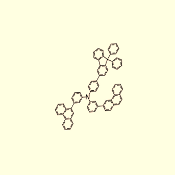 c1ccc(C2(c3ccccc3)c3ccccc3-c3cc(-c4ccc(N(c5cccc(-c6ccc7ccc8ccccc8c7c6)c5)c5cccc(-c6cc7ccccc7c7ccccc67)c5)cc4)ccc32)cc1